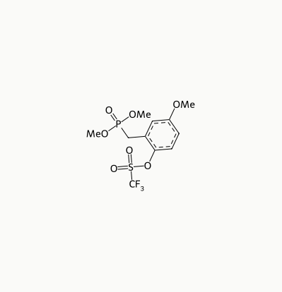 COc1ccc(OS(=O)(=O)C(F)(F)F)c(CP(=O)(OC)OC)c1